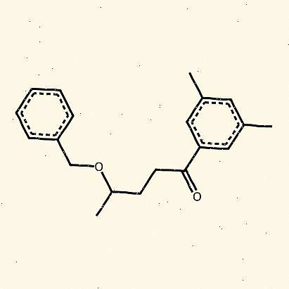 Cc1cc(C)cc(C(=O)CCC(C)OCc2ccccc2)c1